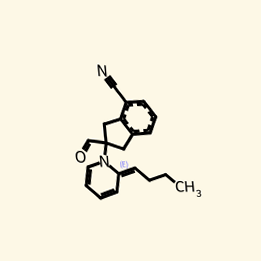 CCC/C=C1\C=CC=CN1C1(C=O)Cc2cccc(C#N)c2C1